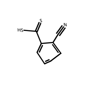 N#Cc1ccccc1C(=S)S